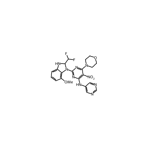 COc1cccc2c1N(c1nc(Nc3cncnc3)c([N+](=O)[O-])c(N3CCOCC3)n1)C(C(F)F)N2